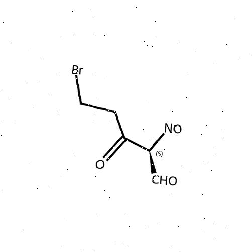 O=C[C@H](N=O)C(=O)CCBr